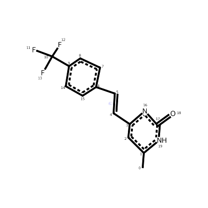 Cc1cc(/C=C/c2ccc(C(F)(F)F)cc2)nc(=O)[nH]1